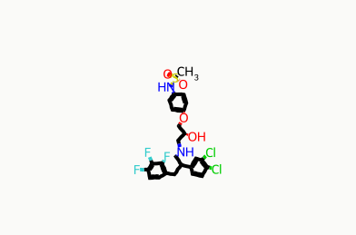 CS(=O)(=O)Nc1ccc(OC[C@@H](O)CNCC(Cc2ccc(F)c(F)c2F)c2ccc(Cl)c(Cl)c2)cc1